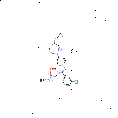 CC(C)NC(=O)Cn1c(-c2cccc(Cl)c2)nc2ccc(N3CCCC(CC4CC4)CN3)cc2c1=O